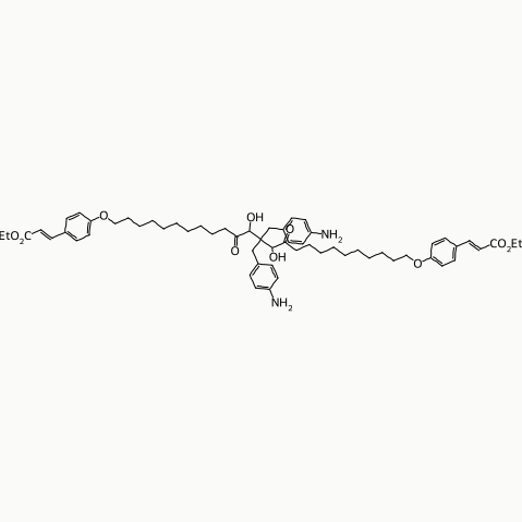 CCOC(=O)/C=C/c1ccc(OCCCCCCCCCCC(=O)C(O)C(Cc2ccc(N)cc2)(Cc2ccc(N)cc2)C(O)C(=O)CCCCCCCCCCOc2ccc(/C=C/C(=O)OCC)cc2)cc1